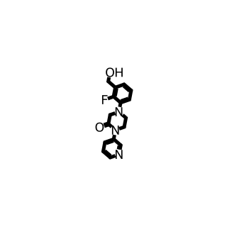 O=C1CN(c2cccc(CO)c2F)CCN1c1cccnc1